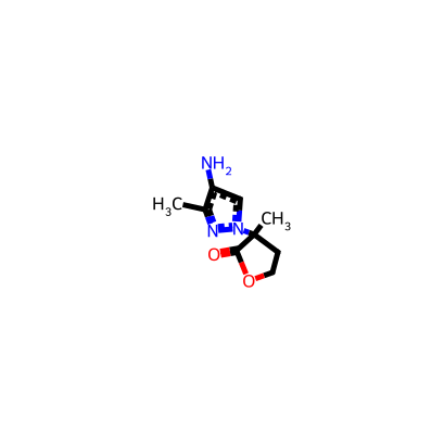 Cc1nn(C2(C)CCOC2=O)cc1N